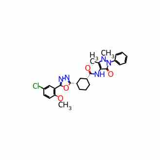 COc1ccc(Cl)cc1-c1nnc([C@H]2CCC[C@@H](C(=O)Nc3c(C)n(C)n(-c4ccccc4)c3=O)C2)o1